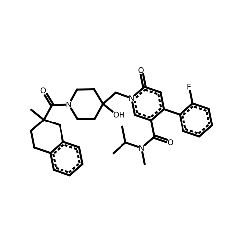 CC(C)N(C)C(=O)c1cn(CC2(O)CCN(C(=O)C3(C)CCc4ccccc4C3)CC2)c(=O)cc1-c1ccccc1F